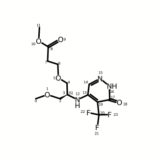 COC[C@@H](COCCC(=O)OC)Nc1cn[nH]c(=O)c1C(F)(F)F